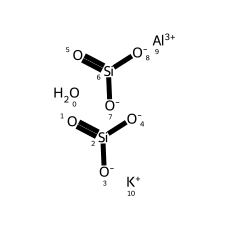 O.O=[Si]([O-])[O-].O=[Si]([O-])[O-].[Al+3].[K+]